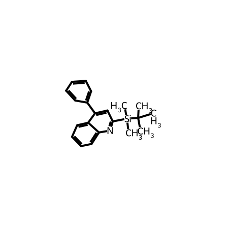 CC(C)(C)[Si](C)(C)c1cc(-c2ccccc2)c2ccccc2n1